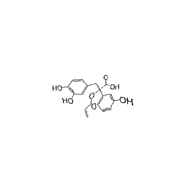 C=CC(=O)OC(Cc1ccc(O)c(O)c1)(C(=O)O)c1cccc(O)c1